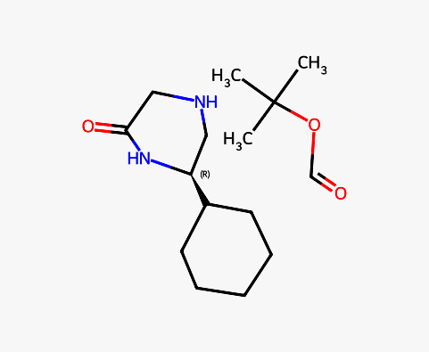 CC(C)(C)OC=O.O=C1CNC[C@@H](C2CCCCC2)N1